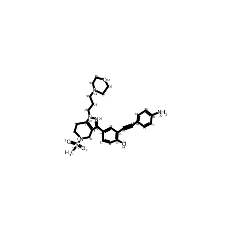 CS(=O)(=O)N1CCc2c(c(-c3ccc(Cl)c(C#Cc4ccc(N)cc4)c3)nn2CCCN2CCOCC2)C1